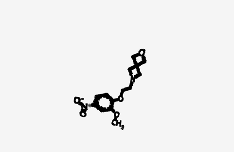 COc1cc([N+](=O)[O-])ccc1OCCN1CC2(COC2)C1